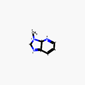 CN1CN=C2C=CC=NC21